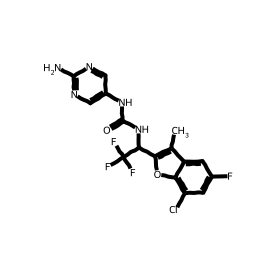 Cc1c(C(NC(=O)Nc2cnc(N)nc2)C(F)(F)F)oc2c(Cl)cc(F)cc12